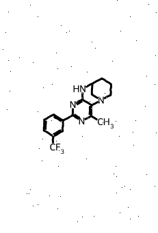 Cc1nc(-c2cccc(C(F)(F)F)c2)nc2c1N1CCCC(C1)N2